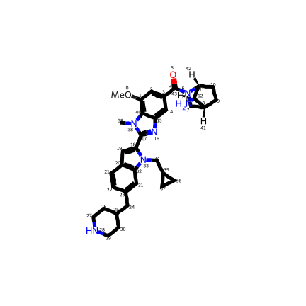 COc1cc(C(=O)N2C[C@H]3CC[C@@H]2[C@@H]3N)cc2nc(-c3cc4ccc(CC5CCNCC5)cc4n3CC3CC3)n(C)c12